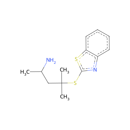 CC(N)CC(C)(C)Sc1nc2ccccc2s1